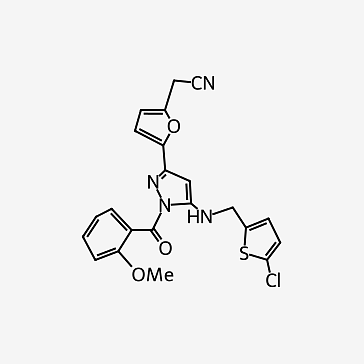 COc1ccccc1C(=O)n1nc(-c2ccc(CC#N)o2)cc1NCc1ccc(Cl)s1